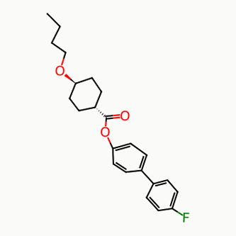 CCCCO[C@H]1CC[C@H](C(=O)Oc2ccc(-c3ccc(F)cc3)cc2)CC1